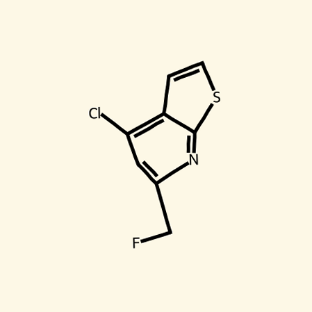 FCc1cc(Cl)c2ccsc2n1